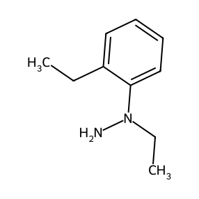 CCc1ccccc1N(N)CC